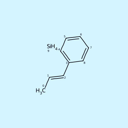 CC=Cc1ccccc1.[SiH4]